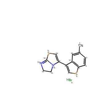 Br.N#Cc1ccc2scc(C3=CSC4=NCCN34)c2c1